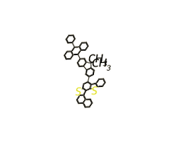 CC1(C)c2ccc(-c3cc4sc5ccc6ccccc6c5c4c4sc5ccccc5c34)cc2-c2ccc(-c3c4ccccc4c(-c4ccccc4)c4ccccc34)cc21